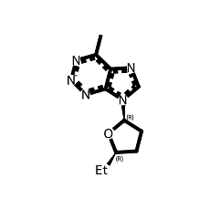 CC[C@@H]1CC[C@H](n2cnc3c(C)nnnc32)O1